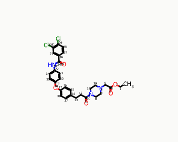 CCOC(=O)CN1CCN(C(=O)CCc2ccc(Oc3ccc(NC(=O)c4ccc(Cl)c(Cl)c4)cc3)cc2)CC1